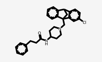 O=C(CCc1ccccc1)NC1CCN(CC23CC(c4ccccc42)c2ccc(Cl)cc23)CC1